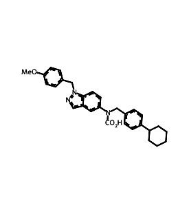 COc1ccc(Cn2ncc3cc(N(Cc4ccc(C5CCCCC5)cc4)C(=O)O)ccc32)cc1